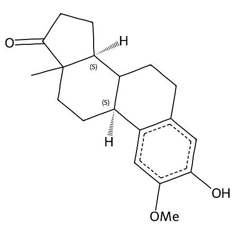 COc1cc2c(cc1O)CCC1[C@@H]2CCC2(C)C(=O)CC[C@@H]12